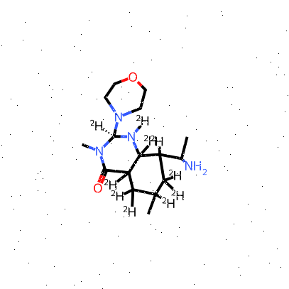 [2H]N1C2([2H])C([2H])(C(=O)N(C)[C@@]1([2H])N1CCOCC1)C([2H])([2H])C([2H])(C)C([2H])([2H])C2([2H])C(C)N